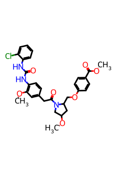 COC(=O)c1ccc(OCC2CC(OC)CN2C(=O)Cc2ccc(NC(=O)Nc3ccccc3Cl)c(OC)c2)cc1